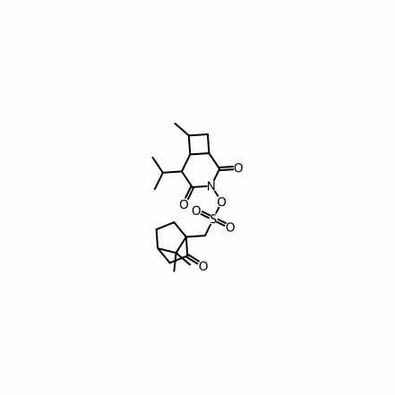 CC(C)C1C(=O)N(OS(=O)(=O)CC23CCC(CC2=O)C3(C)C)C(=O)C2CC(C)C21